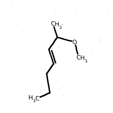 [CH2]C(C=CCCC)OC